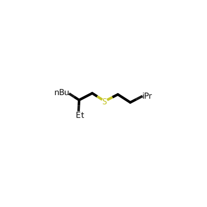 CCCCC(CC)CSCCC(C)C